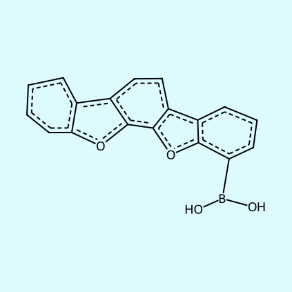 OB(O)c1cccc2c1oc1c2ccc2c3ccccc3oc21